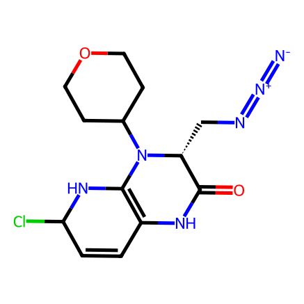 [N-]=[N+]=NC[C@@H]1C(=O)NC2=C(NC(Cl)C=C2)N1C1CCOCC1